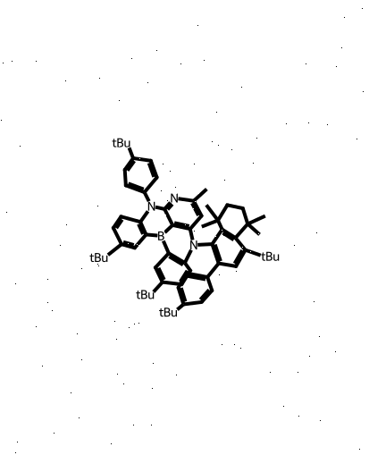 Cc1cc2c3c(n1)N(c1ccc(C(C)(C)C)cc1)c1ccc(C(C)(C)C)cc1B3c1cc(C(C)(C)C)ccc1N2c1c(-c2ccc(C(C)(C)C)cc2)cc(C(C)(C)C)c2c1C(C)(C)CCC2(C)C